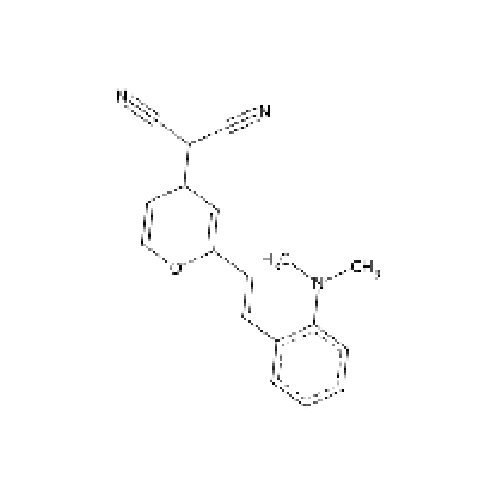 CN(C)c1ccccc1C=CC1=CC(C(C#N)C#N)C=CO1